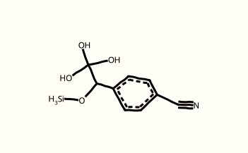 N#Cc1ccc(C(O[SiH3])C(O)(O)O)cc1